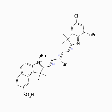 CCCC[N+]1=C(/C=C/C(Br)=C/C=C2/N=C3C(=CC(Cl)=CN3CCC)C2(C)C)C(C)(C)c2c1ccc1ccc(S(=O)(=O)O)cc21